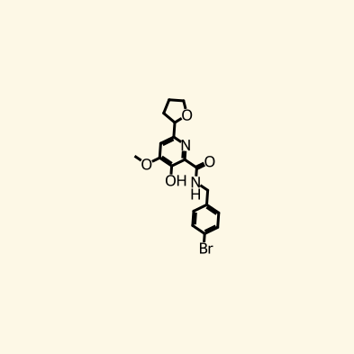 COc1cc(C2CCCO2)nc(C(=O)NCc2ccc(Br)cc2)c1O